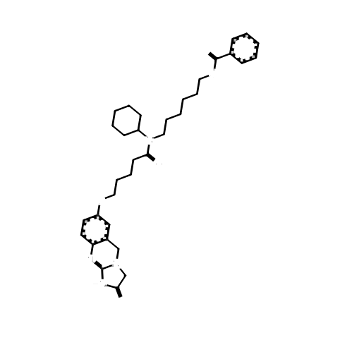 O=C1CN2Cc3cc(OCCCCC(=O)N(CCCCCCOC(=O)c4ccccc4)C4CCCCC4)ccc3N=C2N1